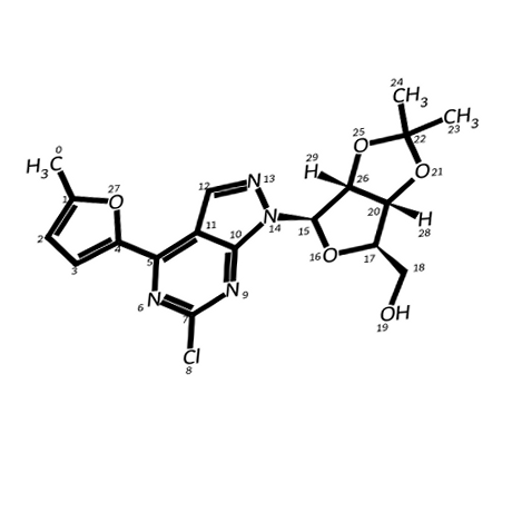 Cc1ccc(-c2nc(Cl)nc3c2cnn3[C@@H]2O[C@H](CO)[C@H]3OC(C)(C)O[C@H]32)o1